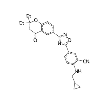 CCC1(CC)CC(=O)c2cc(-c3noc(-c4ccc(NCC5CC5)c(C#N)c4)n3)ccc2O1